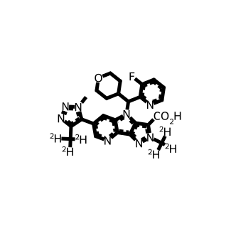 [2H]C([2H])([2H])c1nnn(C)c1-c1cnc2c3nn(C([2H])([2H])[2H])c(C(=O)O)c3n(C(c3ncccc3F)C3CCOCC3)c2c1